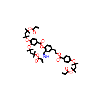 C=CC(=O)OC(C)(C)CC(C)(C)Oc1ccc(C(=O)OCCc2ccc(OC(=O)c3ccc(OC(C)(C)CC(C)(C)OC(=O)C=C)c(OC(C)(C)CC(C)(C)OC(=O)C=C)c3)c(C=N)c2)cc1